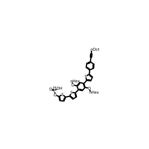 CCCCCCCCC#Cc1ccc(-c2ccc(-c3cc(OCCCCCC)c(-c4ccc(-c5ccc(O[PH](=O)O)s5)s4)cc3OCCCCCC)s2)cc1